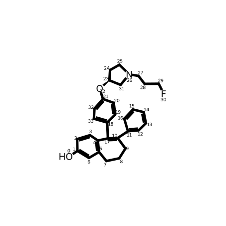 Oc1ccc2c(c1)CCCC(c1ccccc1)=C2c1ccc(O[C@H]2CCN(CCCF)C2)cc1